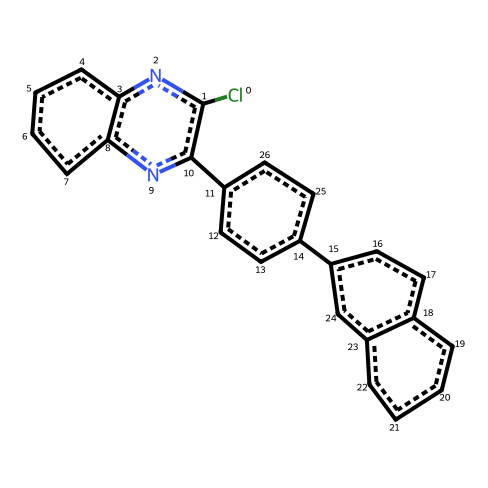 Clc1nc2ccccc2nc1-c1ccc(-c2ccc3ccccc3c2)cc1